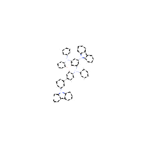 c1ccc(N2c3ccccc3B3c4cc(-c5cccc(-n6c7ccccc7c7ccccc76)c5)ccc4N(c4ccccc4)c4cc(-n5c6ccccc6c6ccccc65)cc2c43)cc1